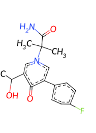 CC(O)c1cn(C(C)(C)C(N)=O)cc(-c2ccc(F)cc2)c1=O